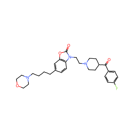 O=C(c1ccc(F)cc1)C1CCN(CCn2c(=O)oc3cc(CCCCN4CCOCC4)ccc32)CC1